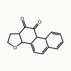 O=C1C(=O)C2C(=CC=C3C=CC=CC32)C2OCCC12